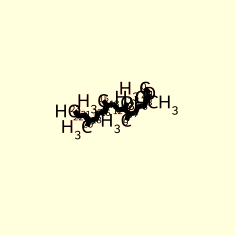 COC(C)(C)CCCC(C)C(O)CCC(C)=CCCC(C)=CCO